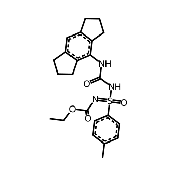 CCOC(=O)N=S(=O)(NC(=O)Nc1c2c(cc3c1CCC3)CCC2)c1ccc(C)cc1